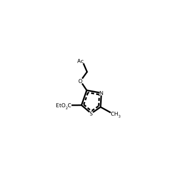 CCOC(=O)c1sc(C)nc1OCC(C)=O